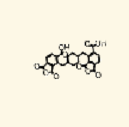 O=C(O)c1ccc2c(c1CC1CCC(Cc3c(C(=O)O)ccc4c3C(=O)OC4=O)CC1)C(=O)OC2=O